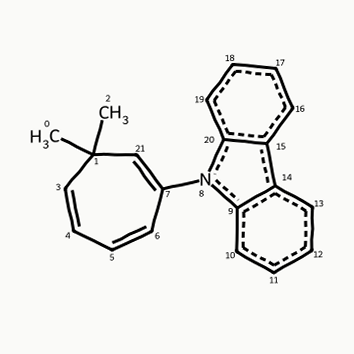 CC1(C)C=CC=CC(n2c3ccccc3c3ccccc32)=C1